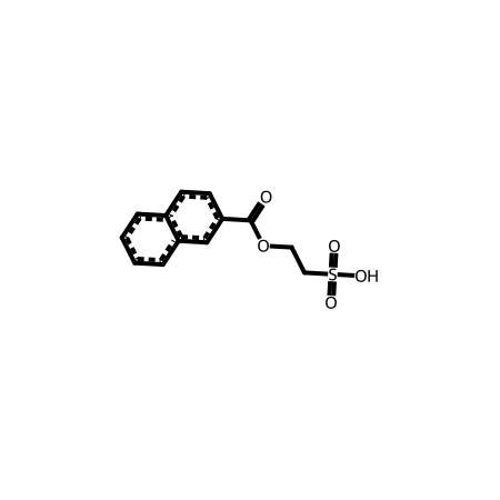 O=C(OCCS(=O)(=O)O)c1ccc2ccccc2c1